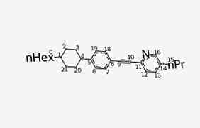 CCCCCCC1CCC(c2ccc(C#Cc3ccc(CCC)cn3)cc2)CC1